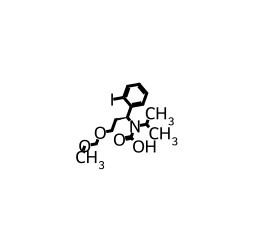 COCOCC[C@@H](c1ccccc1I)N(C(=O)O)C(C)C